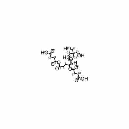 N=C(CCC(=O)OC(=O)CCC(=O)O)OC(=O)CCC(=O)O.OCC(CO)(CO)CO